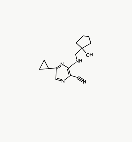 N#Cc1ncc(C2CC2)nc1NCC1(O)CCCC1